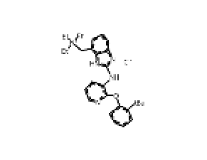 CC[N+](CC)(CC)Cc1cccc2nc(Nc3cccnc3Oc3ccccc3C(C)(C)C)[nH]c12.[Cl-]